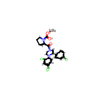 CC(C)(C)OC(=O)N1CCCCC1C(=O)N1CCN(c2ccc(Cl)cc2Cl)[C@H](c2ccc(Cl)cc2)C1